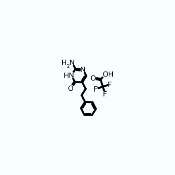 Nc1ncc(CCc2ccccc2)c(=O)[nH]1.O=C(O)C(F)(F)F